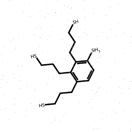 [SiH3]c1ccc(CCCS)c(CCCS)c1CCCS